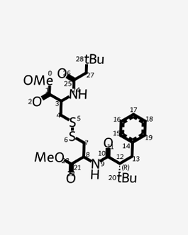 COC(=O)C(CSSCC(NC(=O)[C@H](Cc1ccccc1)C(C)(C)C)C(=O)OC)NC(=O)CC(C)(C)C